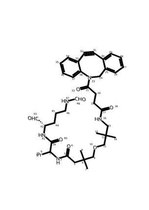 CC(C)C(NC(=O)CC(C)(C)COCC(C)(C)CNC(=O)CCC(=O)N1Cc2ccccc2C#Cc2ccccc21)C(=O)N[C@H](C=O)CCCNC=O